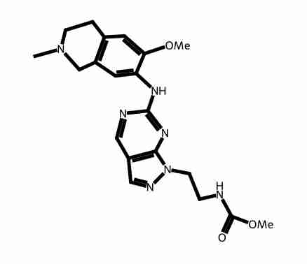 COC(=O)NCCn1ncc2cnc(Nc3cc4c(cc3OC)CCN(C)C4)nc21